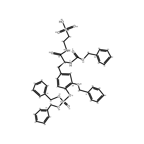 O=C(N[C@@H](Cc1ccc(OP(=O)(OCc2ccccc2)OCc2ccccc2)c(OCc2ccccc2)c1)C(=O)NCCS(=O)(=O)O)OCc1ccccc1